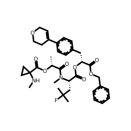 CNC1(C(=O)O[C@H](C)C(=O)N(C)[C@@H](CC(C)(C)F)C(=O)O[C@H](Cc2ccc(C3=CCOCC3)cc2)C(=O)OCc2ccccc2)CC1